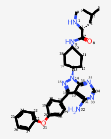 CN[C@H](CC(C)C)C(=O)N[C@H]1CC[C@@H](n2nc(-c3ccc(Oc4ccccc4)cc3)c3c(N)ncnc32)CC1